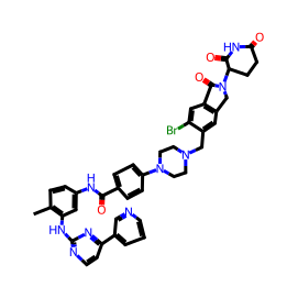 Cc1ccc(NC(=O)c2ccc(N3CCN(Cc4cc5c(cc4Br)C(=O)N(C4CCC(=O)NC4=O)C5)CC3)cc2)cc1Nc1nccc(-c2cccnc2)n1